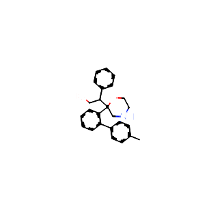 Cc1ccc(-c2ccccc2C2(C(CO)c3ccccc3)CNCCO2)cc1